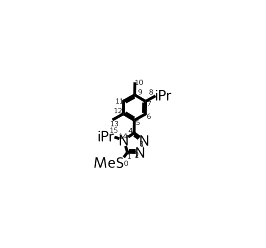 CSc1nnc(-c2cc(C(C)C)c(C)cc2C)n1C(C)C